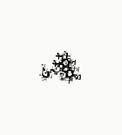 [2H]c1c([2H])c([2H])c([C@@](C)(OCC[C@H]2CCCN2C)c2c([2H])c([2H])c(Cl)c([2H])c2[2H])c([2H])c1[2H]